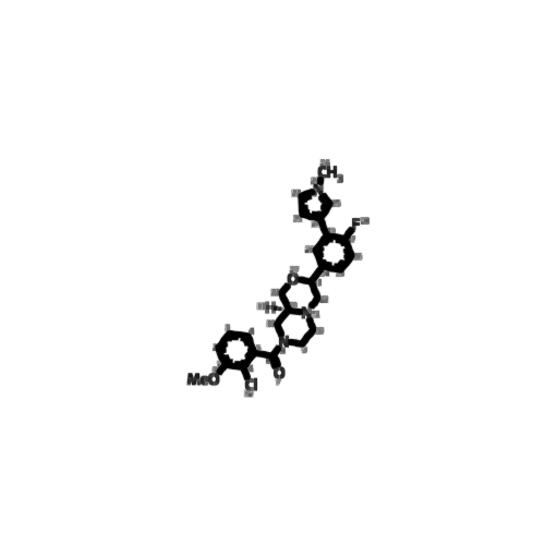 COc1cccc(C(=O)N2CCN3CC(c4ccc(F)c(-c5ccn(C)c5)c4)OC[C@@H]3C2)c1Cl